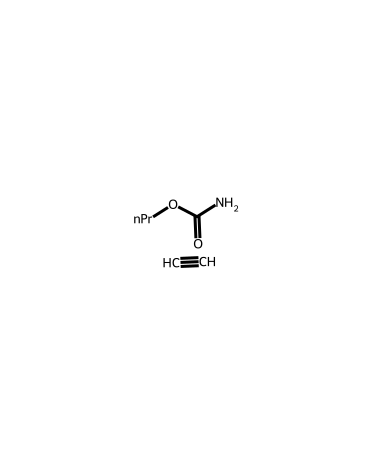 C#C.CCCOC(N)=O